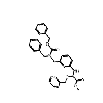 COC(=O)C(Nc1cccc(CN(Cc2ccccc2)C(=O)OCc2ccccc2)c1)OCc1ccccc1